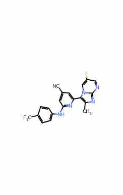 Cc1nc2ncc(F)cn2c1-c1cc(C#N)cc(Nc2ccc(C(F)(F)F)cc2)n1